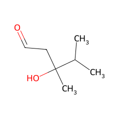 CC(C)C(C)(O)CC=O